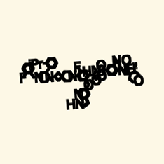 CC(C)c1ccccc1C1CN(Cc2ccccc2F)CCN1C1CC2(CCN(c3cc(Oc4cnc5[nH]ccc5c4)c(C(=O)NS(=O)(=O)c4ccc(NCC5(F)CCOCC5)c([N+](=O)[O-])c4)cc3F)CC2)C1